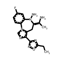 CCc1nc(-c2ncn3c2C/C(=C(\C)N)N(N)c2cc(F)ccc2-3)no1